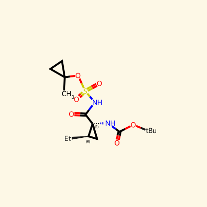 CC[C@@H]1C[C@]1(NC(=O)OC(C)(C)C)C(=O)NS(=O)(=O)OC1(C)CC1